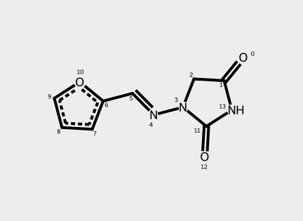 O=C1CN(/N=C/c2ccco2)C(=O)N1